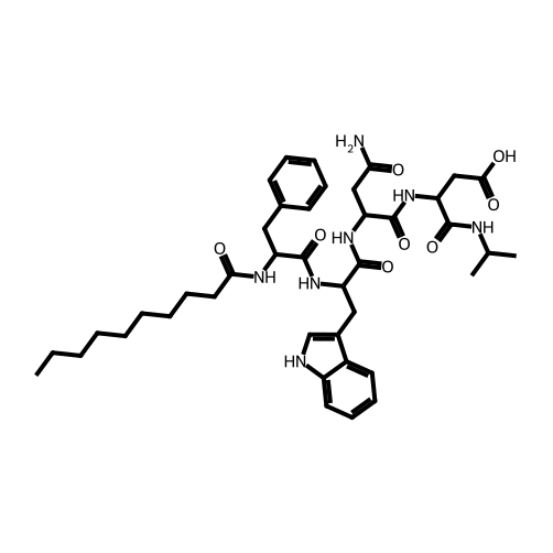 CCCCCCCCCC(=O)NC(Cc1ccccc1)C(=O)NC(Cc1c[nH]c2ccccc12)C(=O)NC(CC(N)=O)C(=O)NC(CC(=O)O)C(=O)NC(C)C